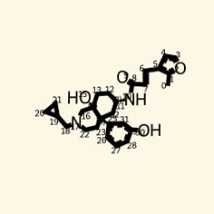 Cc1occc1C=CC(=O)N[C@@H]1CC[C@]2(O)CN(CC3CC3)CC[C@@]2(c2cccc(O)c2)C1